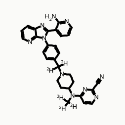 [2H]C([2H])([2H])N(c1ccnc(C#N)n1)C1CCN(C([2H])([2H])c2ccc(-n3c(-c4cccnc4N)nc4cccnc43)cc2)CC1